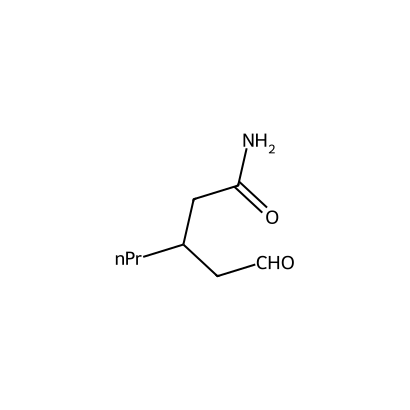 CCCC(CC=O)CC(N)=O